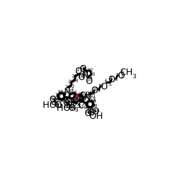 COCCOCCOCCOCCN1/C(=C/C(C)=C/C2=[N+](CCCCCC(=O)ON3C(=O)CCC3=O)c3ccc(S(=O)(=O)O)cc3C2(C)CCOC)C(C)(CCCS(=O)(=O)O)c2cc(S(=O)(=O)O)ccc21